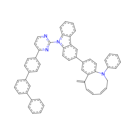 C=C1/C=C\C=C/CN(c2ccccc2)c2ccc(-c3ccc4c(c3)c3ccccc3n4-c3nccc(-c4ccc(-c5cccc(-c6ccccc6)c5)cc4)n3)cc21